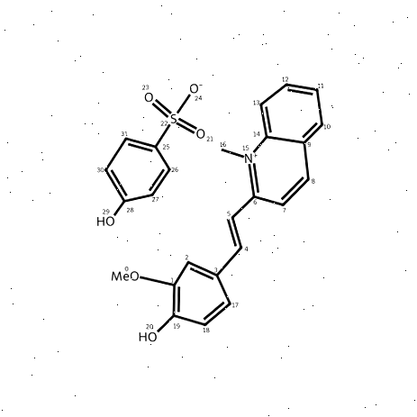 COc1cc(/C=C/c2ccc3ccccc3[n+]2C)ccc1O.O=S(=O)([O-])c1ccc(O)cc1